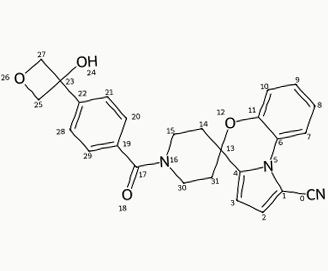 N#Cc1ccc2n1-c1ccccc1OC21CCN(C(=O)c2ccc(C3(O)COC3)cc2)CC1